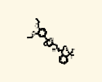 CCOc1ccc(-c2nc(CNC(=O)c3ccccc3C(F)(F)F)co2)cc1OCC